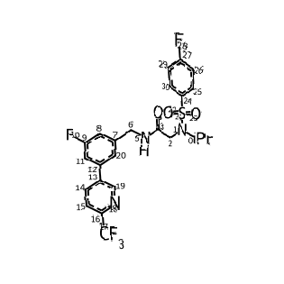 CC(C)N(CC(=O)NCc1cc(F)cc(-c2ccc(C(F)(F)F)nc2)c1)S(=O)(=O)c1ccc(F)cc1